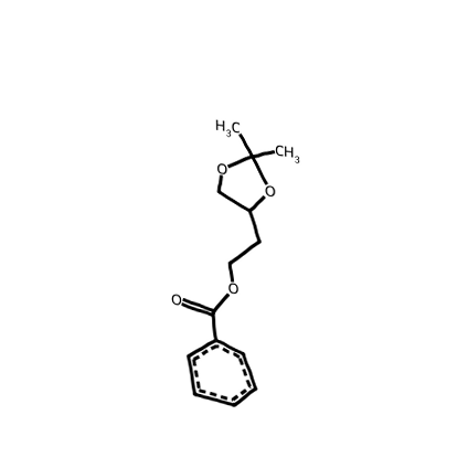 CC1(C)OCC(CCOC(=O)c2ccccc2)O1